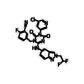 N#Cc1cc(Cn2c(Nc3ccc4nn(CC(F)F)cc4c3)nc(=O)n(-c3cncc(Cl)c3)c2=O)ccc1F